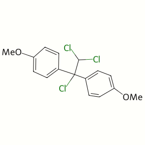 COc1ccc(C(Cl)(c2ccc(OC)cc2)C(Cl)Cl)cc1